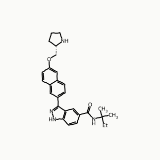 CCC(C)(C)NC(=O)c1ccc2[nH]nc(-c3ccc4cc(OC[C@@H]5CCCN5)ccc4c3)c2c1